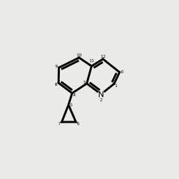 c1cnc2c(C3CC3)cccc2c1